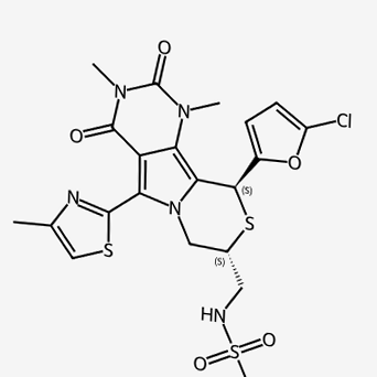 Cc1csc(-c2c3c(=O)n(C)c(=O)n(C)c3c3n2C[C@@H](CNS(C)(=O)=O)S[C@@H]3c2ccc(Cl)o2)n1